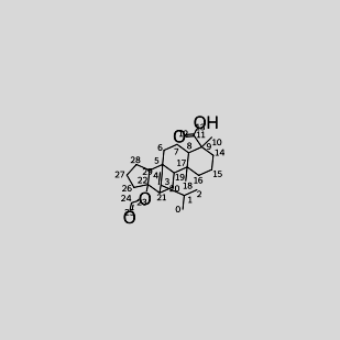 CC(C)C1=CC23CCC4C(C)(C(=O)O)CCCC4(C)C2CC1C1(OC=O)CCCC31